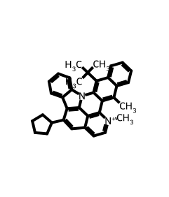 Cc1c2ccccc2c(C(C)(C)C)c2c1c1c3c(cc[n+]1C)cc(C1CCCC1)c1c4ccccc4n2c13